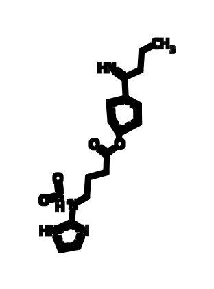 CCCC(=N)c1ccc(OC(=O)CCCN(c2ncc[nH]2)[SH](=O)=O)cc1